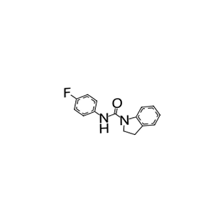 O=C(Nc1ccc(F)cc1)N1CCc2ccccc21